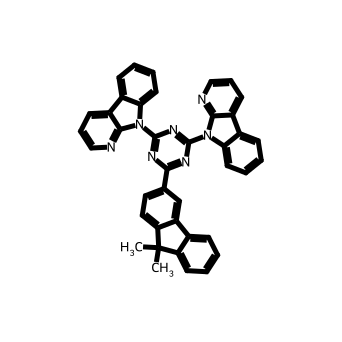 CC1(C)c2ccccc2-c2cc(-c3nc(-n4c5ccccc5c5cccnc54)nc(-n4c5ccccc5c5cccnc54)n3)ccc21